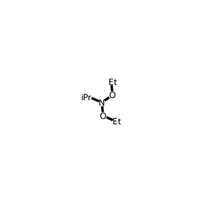 CCON(OCC)C(C)C